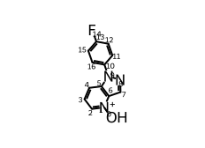 O[n+]1cccc2c1cnn2-c1ccc(F)cc1